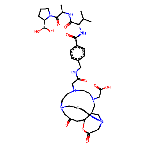 CC(C)[C@H](NC(=O)c1ccc(CNC(=O)CN2CCN3CCN4CC(=O)OC(CC(=O)C3)C(CN(CC(=O)O)CC2)C4)cc1)C(=O)N[C@H](C)C(=O)N1CCC[C@H]1B(O)O